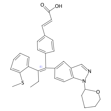 CC/C(=C(/c1ccc(C=CC(=O)O)cc1)c1ccc2c(cnn2C2CCCCO2)c1)c1ccccc1SC